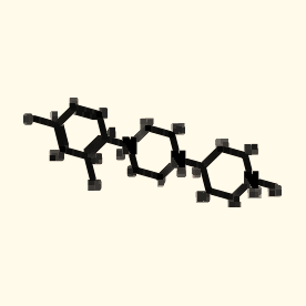 Cc1ccc(N2CCN(C3CCN(C)CC3)CC2)c(C)c1